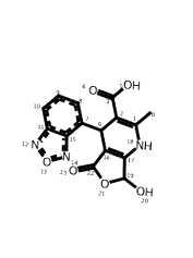 CC1=C(C(=O)O)C(c2cccc3nonc23)C2=C(N1)C(O)OC2=O